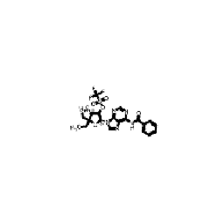 CCC1(CC)O[C@@H](n2cnc3c(NC(=O)c4ccccc4)ncnc32)C(OS(=O)(=O)C(F)(F)F)[C@H]1C